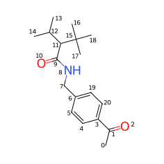 CC(=O)c1ccc(CNC(=O)C(C(C)C)C(C)(C)C)cc1